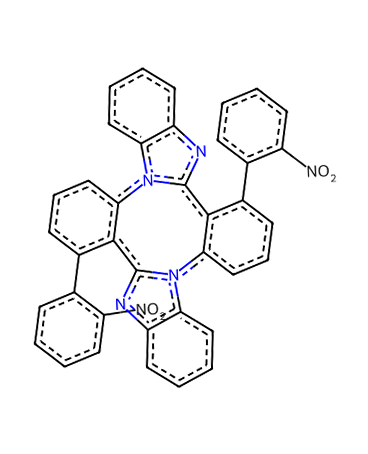 O=[N+]([O-])c1ccccc1-c1cccc2c1c1nc3ccccc3n1c1cccc(-c3ccccc3[N+](=O)[O-])c1c1nc3ccccc3n21